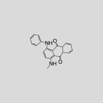 CNc1ccc(Nc2ccccc2)c2c1C(=O)C1C=CC=CC1C2=O